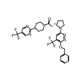 O=C(C[C@@H]1CCCN1c1cc(C(F)(F)F)c(OCc2ccccc2)nn1)N1CCN(c2ncc(C(F)(F)F)cn2)CC1